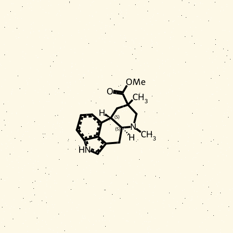 COC(=O)C1(C)C[C@H]2c3cccc4[nH]cc(c34)C[C@@H]2N(C)C1